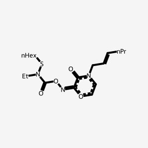 CCCC=CCn1ccoc(=NOC(=O)N(CC)SCCCCCC)c1=O